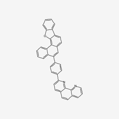 c1cnc2c(c1)ccc1ccc(-c3ccc(-c4cc5ccc6c7ccccc7oc6c5c5ccccc45)cc3)nc12